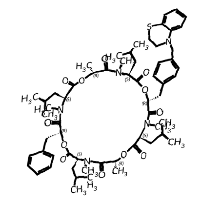 CC(C)C[C@H]1C(=O)O[C@H](Cc2ccc(CN3CCSc4ccccc43)cc2)C(=O)N(C)[C@@H](CC(C)C)C(=O)O[C@H](C)C(=O)N(C)[C@@H](CC(C)C)C(=O)O[C@H](Cc2ccccc2)C(=O)N(C)[C@@H](CC(C)C)C(=O)O[C@H](C)C(=O)N1C